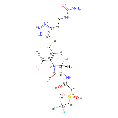 NC(=O)NCCn1nnnc1SCC1=C(C(=O)O)N2C(=O)C(NC(=O)CS(=O)(=O)CC(F)(F)F)[C@H]2SC1